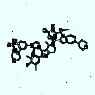 CCP(=O)(CC)c1ccc(-n2ccn(-c3c4c(nn3-c3cc(C)c(F)c(C)c3)CCN(C(=O)c3cc5cc(C6CCOCC6)ccc5n3C3(c5noc(=O)[nH]5)CC3C)C4C)c2=O)cc1N1CCOCC1